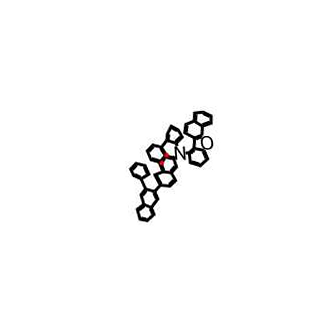 c1ccc(-c2cc3ccccc3cc2-c2ccc3cc(N(c4ccccc4-c4ccccc4)c4cccc5oc6c7ccccc7ccc6c45)ccc3c2)cc1